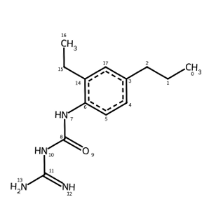 CCCc1ccc(NC(=O)NC(=N)N)c(CC)c1